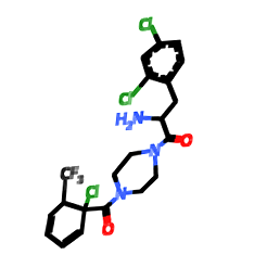 NC(Cc1ccc(Cl)cc1Cl)C(=O)N1CCN(C(=O)C2(Cl)C=CC=CC2C(F)(F)F)CC1